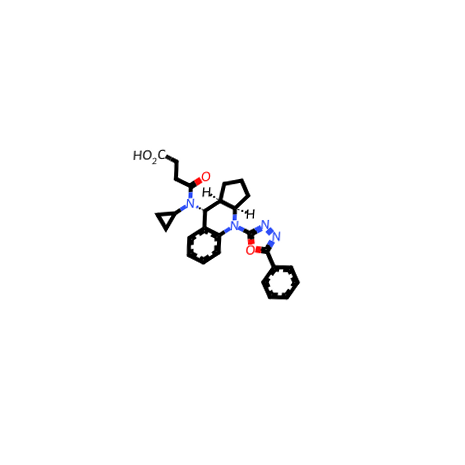 O=C(O)CCC(=O)N(C1CC1)[C@H]1c2ccccc2N(c2nnc(-c3ccccc3)o2)[C@@H]2CCC[C@@H]21